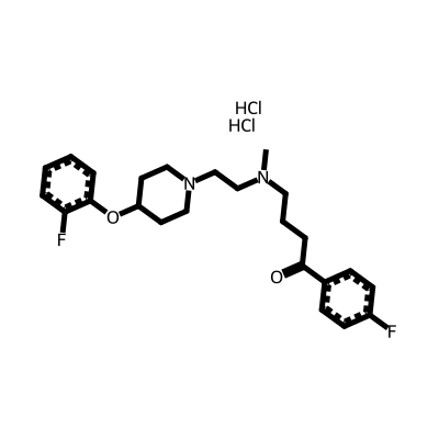 CN(CCCC(=O)c1ccc(F)cc1)CCN1CCC(Oc2ccccc2F)CC1.Cl.Cl